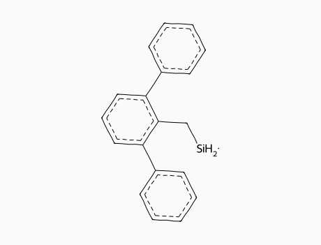 [SiH2]Cc1c(-c2ccccc2)cccc1-c1ccccc1